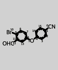 N#Cc1ccc(Oc2ccc(Br)c(C=O)c2)cc1